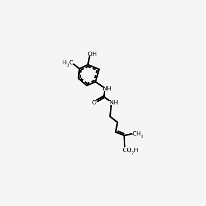 CC(=CCCNC(=O)Nc1ccc(C)c(O)c1)C(=O)O